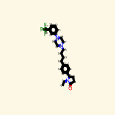 CCN1C(=O)CCC1c1ccc(CCCCN2CCN(c3cccc(C(F)(F)F)c3)CC2)cc1